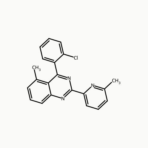 Cc1cccc(-c2nc(-c3ccccc3Cl)c3c(C)cccc3n2)n1